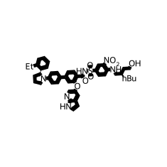 CCCC[C@H](CCO)CNc1ccc(S(=O)(=O)NC(=O)c2ccc(-c3ccc(N4CCC[C@@H]4c4ccccc4CC)cc3)cc2Oc2cnc3[nH]ccc3c2)cc1[N+](=O)[O-]